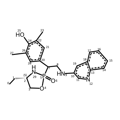 CC[C@H]1COP(=O)(C(CNc2cnc3ccccc3c2)c2cc(C)c(O)c(C)c2)N1